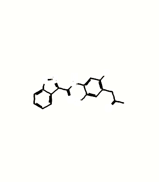 CC(=O)Cc1cc(Cl)c(NC(=O)c2nsc3ccccc23)cc1F